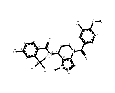 COc1ncc(C(=O)N2CCC(NC(=O)c3ccc(Cl)cc3C(F)(F)F)c3c2cnn3C)cc1Cl